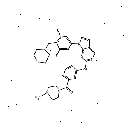 CN1CCN(C(=O)c2cc(Nc3ncc4ccn(-c5cc(F)c(CN6CCOCC6)c(F)c5)c4n3)ccn2)CC1